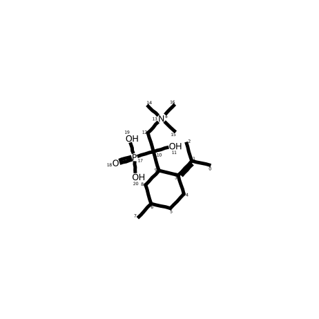 CC(C)=C1CCC(C)CC1C(O)(C[N+](C)(C)C)P(=O)(O)O